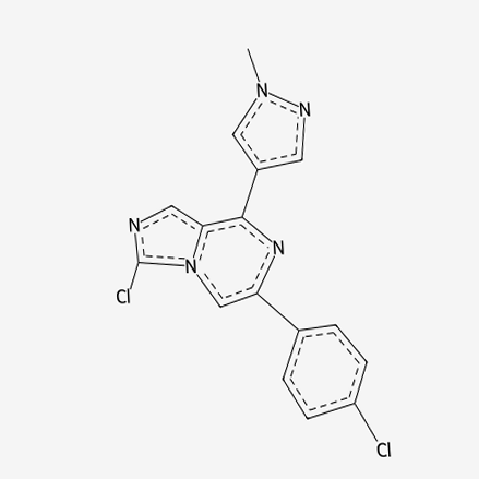 Cn1cc(-c2nc(-c3ccc(Cl)cc3)cn3c(Cl)ncc23)cn1